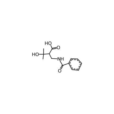 CC(C)(O)C(CNC(=O)c1ccccc1)C(=O)O